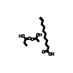 C=CCCCCCCCCC(=O)O.CC(=O)O.CCC(=O)O